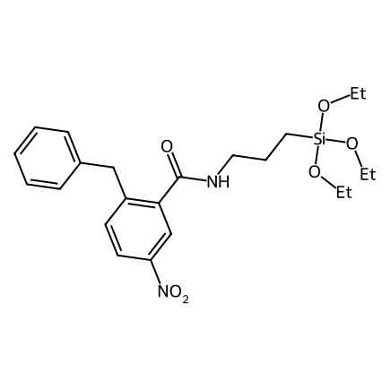 CCO[Si](CCCNC(=O)c1cc([N+](=O)[O-])ccc1Cc1ccccc1)(OCC)OCC